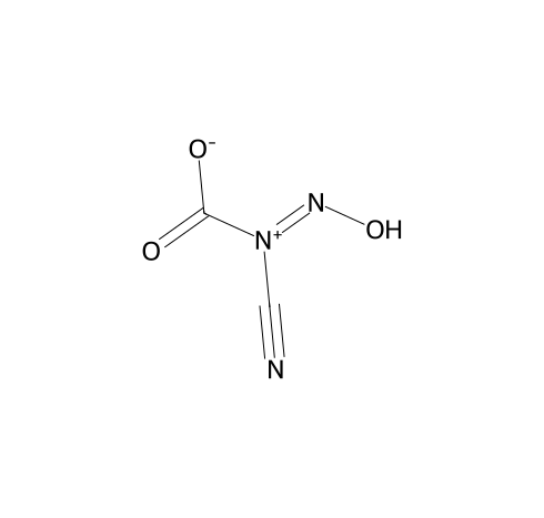 N#C[N+](=NO)C(=O)[O-]